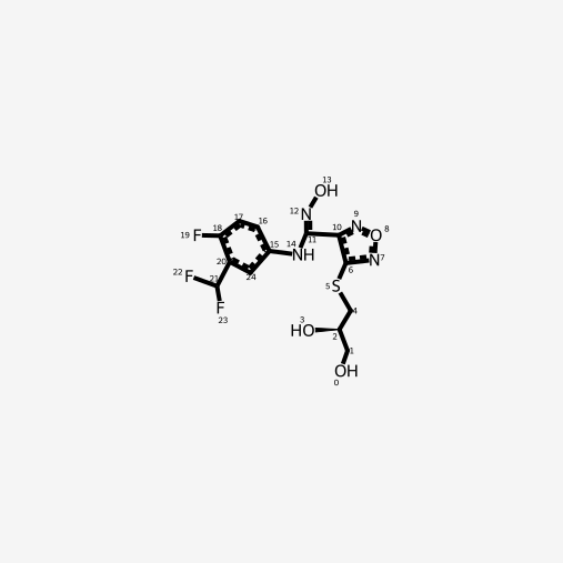 OC[C@@H](O)CSc1nonc1/C(=N\O)Nc1ccc(F)c(C(F)F)c1